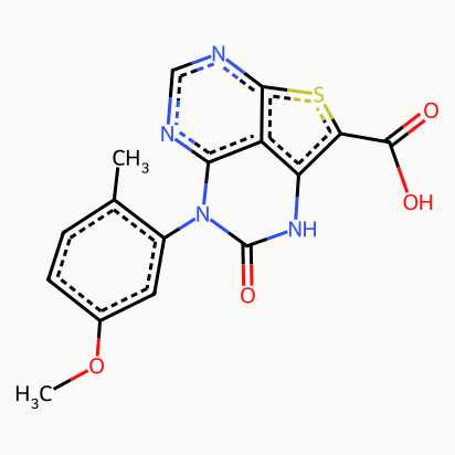 COc1ccc(C)c(N2C(=O)Nc3c(C(=O)O)sc4ncnc2c34)c1